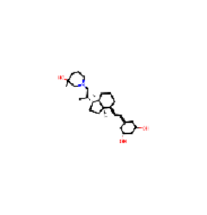 CC(CN1CCCC(C)(O)C1)[C@H]1CC[C@H]2C(=CC=C3C[C@@H](O)C[C@H](O)C3)CCC[C@]12C